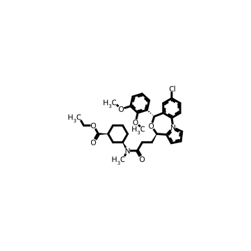 CCOC(=O)[C@H]1CCC[C@@H](N(C)C(=O)CC[C@H]2O[C@H](c3cccc(OC)c3OC)c3cc(Cl)ccc3-n3cccc32)C1